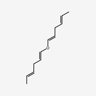 CC=CCC=COC=CCC=CC